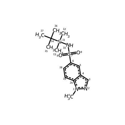 Cn1ncc2cc(S(=O)(=O)N[Si](C)(C)C(C)(C)C)ccc21